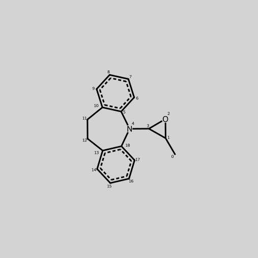 CC1OC1N1c2ccccc2CCc2ccccc21